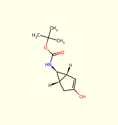 CC(C)(C)OC(=O)N[C@H]1[C@@H]2C=C(O)C[C@@H]21